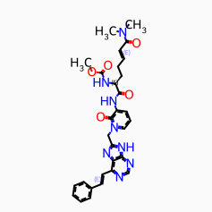 COC(=O)N[C@@H](CC/C=C/C(=O)N(C)C)C(=O)Nc1cccn(Cc2nc3c(/C=C/c4ccccc4)ncnc3[nH]2)c1=O